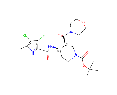 Cc1[nH]c(C(=O)N[C@@H]2CCN(C(=O)OC(C)(C)C)C[C@@H]2C(=O)N2CCOCC2)c(Cl)c1Cl